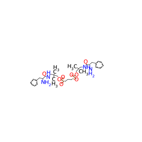 CC(C)(CNC(=O)[C@@H](N)Cc1ccccc1)COS(=O)(=O)CCCS(=O)(=O)OCC(C)(C)CNC(=O)[C@@H](N)Cc1ccccc1